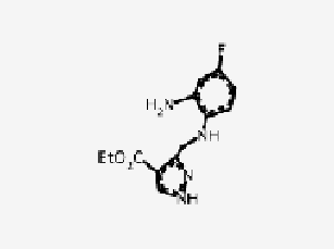 CCOC(=O)c1c[nH]nc1CNc1ccc(F)cc1N